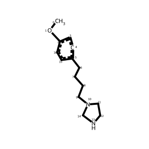 COc1ccc(CCCCN2CCNC2)cc1